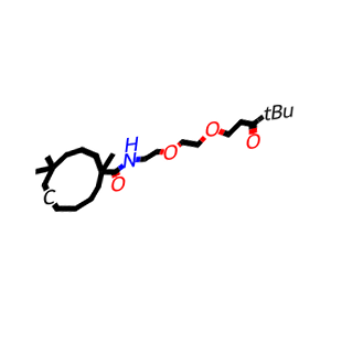 CC1(C)CCCCCCC(C)(C(=O)NCCOCCOCCC(=O)C(C)(C)C)CCC1